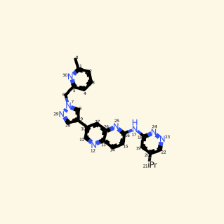 Cc1cccc(Cn2cc(-c3cnc4ccc(Nc5cc(C(C)C)cnn5)nc4c3)cn2)n1